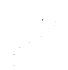 O=C(OCc1ccccc1)O[C@@H]1C[C@@H](COC(F)F)N(C(=O)O)C1